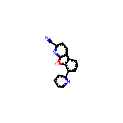 N#Cc1ccc2c(n1)oc1c(-c3ccccn3)cccc12